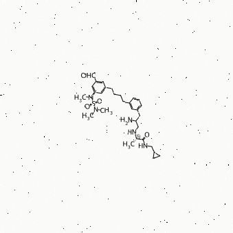 C[C@H](NCC(N)Cc1cccc(CCCCc2cc(C=O)cc(N(C)S(=O)(=O)N(C)C)c2)c1)C(=O)NCC1CC1